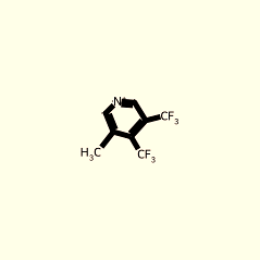 CC1=[C][N+]=[C]C(C(F)(F)F)=C1C(F)(F)F